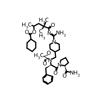 CC(CC(C)(C)C(=O)N=C(N)N1CCC(CN([C@H](Cc2ccccc2)C(=O)N2CCC[C@H]2C(N)=O)S(C)(=O)=O)CC1)OC(=O)C1CCCCC1